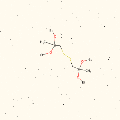 CCO[Si](C)(CSSC[Si](C)(OCC)OCC)OCC